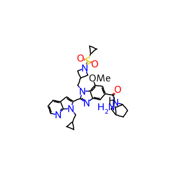 COc1cc(C(=O)N2CC3CCC2[C@@H]3N)cc2nc(-c3cc4cccnc4n3CC3CC3)n(CC3CN(S(=O)(=O)C4CC4)C3)c12